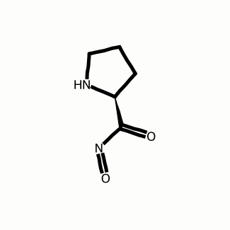 O=NC(=O)[C@@H]1CCCN1